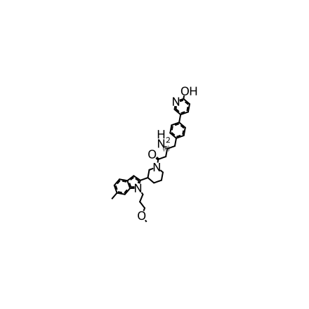 COCCCn1c(C2CCCN(C(=O)C[C@H](N)Cc3ccc(-c4ccc(O)nc4)cc3)C2)cc2ccc(C)cc21